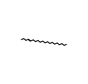 [CH2]CCC=CCCCCCCCCCCCCCC[CH2]